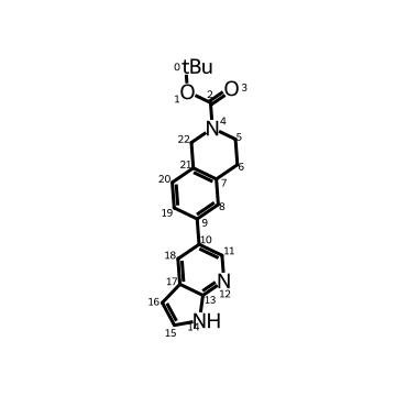 CC(C)(C)OC(=O)N1CCc2cc(-c3cnc4[nH]ccc4c3)ccc2C1